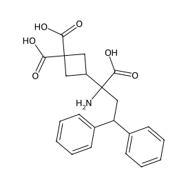 NC(CC(c1ccccc1)c1ccccc1)(C(=O)O)C1CC(C(=O)O)(C(=O)O)C1